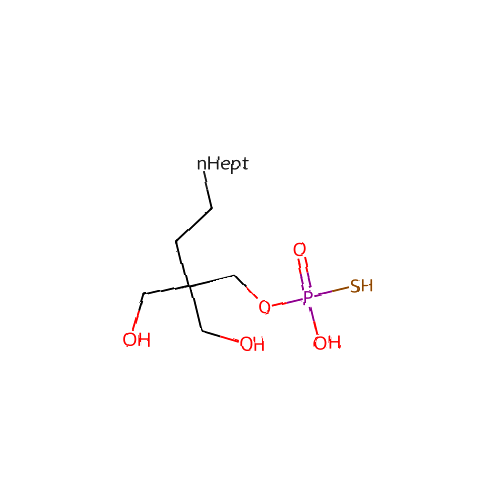 CCCCCCCCCC(CO)(CO)COP(=O)(O)S